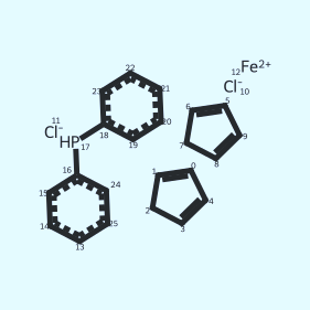 C1=CCC=C1.C1=CCC=C1.[Cl-].[Cl-].[Fe+2].c1ccc(Pc2ccccc2)cc1